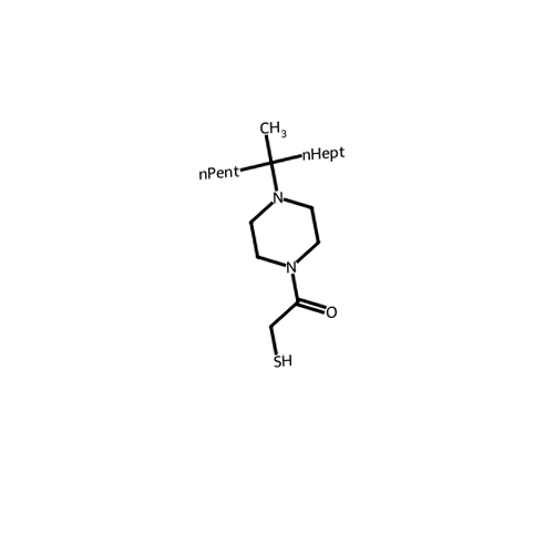 CCCCCCCC(C)(CCCCC)N1CCN(C(=O)CS)CC1